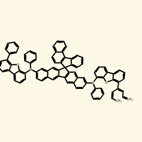 C=C/C=C(\C=C/C)c1cccc2c1oc1c(N(c3ccccc3)c3ccc4cc5c(cc4c3)C3(c4cc6cc(N(c7ccccc7)c7cccc8c7oc7c(-c9ccccc9)cccc78)ccc6cc4-5)c4ccccc4-c4c3ccc3ccccc43)cccc12